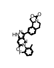 Cc1cccc(F)c1-n1nc2c(-c3ccc4c(c3)C3COC(=O)N3CC4)n[nH]c2cc1=O